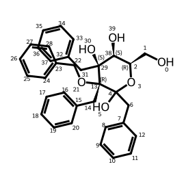 OC[C@H]1OC(O)(Cc2ccccc2)[C@](Cc2ccccc2)(OCc2ccccc2)[C@](O)(Cc2ccccc2)[C@H]1O